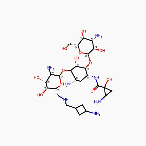 NC1CC(CNC[C@H]2O[C@H](OC3[C@@H](N)C[C@@H](NC(=O)C4(O)CC4N)[C@H](O[C@H]4O[C@H](CO)[C@@H](O)[C@H](N)[C@H]4O)[C@H]3O)[C@H](N)[C@@H](O)[C@@H]2O)C1